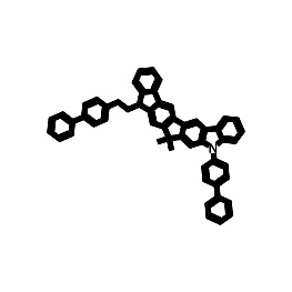 CC1(C)c2cc3c(cc2-c2cc4c5ccccc5n(-c5ccc(-c6ccccc6)cc5)c4cc21)-c1ccccc1C3CCc1ccc(-c2ccccc2)cc1